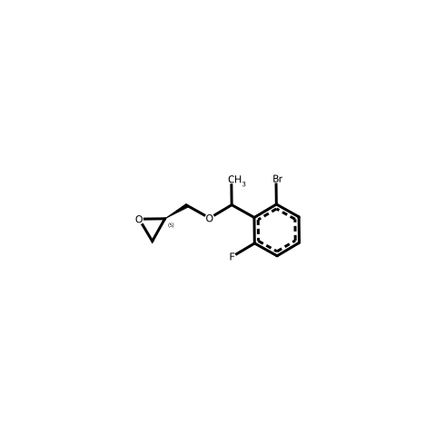 CC(OC[C@H]1CO1)c1c(F)cccc1Br